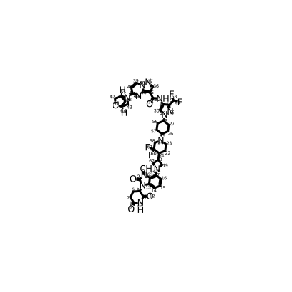 Cn1c(=O)n(C2CCC(=O)NC2=O)c2cccc(N3CC(C4CCN([C@H]5CC[C@H](n6cc(NC(=O)c7cnn8ccc(N9C[C@H]%10C[C@@H]9CO%10)nc78)c(C(F)F)n6)CC5)CC4(F)F)C3)c21